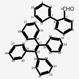 O=Cc1ccccc1-c1ccccc1.c1ccc(C(=C(c2ccccc2)c2ccccc2)c2ccccc2)cc1